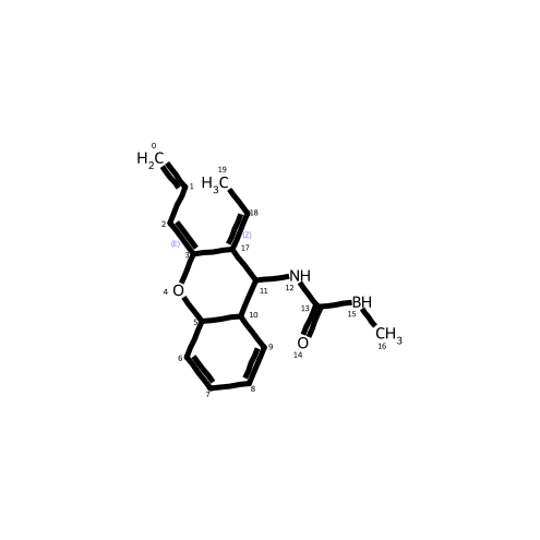 C=C/C=C1/OC2C=CC=CC2C(NC(=O)BC)/C1=C/C